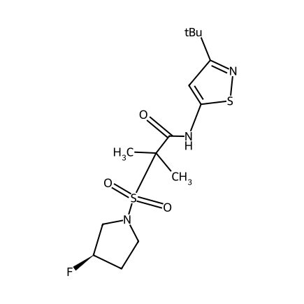 CC(C)(C)c1cc(NC(=O)C(C)(C)S(=O)(=O)N2CC[C@@H](F)C2)sn1